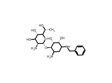 C[C@@H](O)C1O[C@H](O[C@@H]2C(N)CC(NCc3ccccc3)[C@@H](O)[C@H]2O)[C@@H](N)C(O)[C@@H]1O